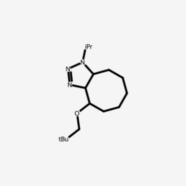 CC(C)N1N=NC2C(OCC(C)(C)C)CCCCCC21